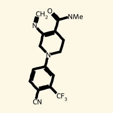 C=NC1=C(C(=O)NC)CCN(c2ccc(C#N)c(C(F)(F)F)c2)C1